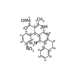 COC(=O)C1=C(C)Nc2nc3c(c(N)c2C1c1cccc([N+](=O)[O-])c1)-c1ccccc1CC3